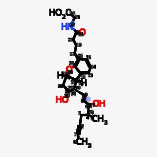 CC#CC[C@H](C)[C@H](O)/C=C/[C@@H]1[C@H]2c3cccc(CCCC(=O)NCC(=O)O)c3O[C@H]2C[C@H]1O